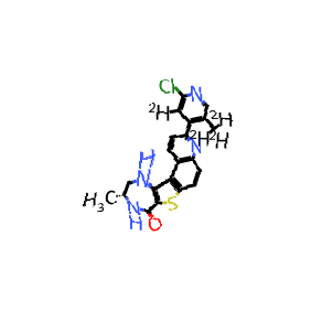 [2H]c1c(Cl)ncc(C([2H])([2H])[2H])c1-c1ccc2c(ccc3sc4c(c32)NC[C@@H](C)NC4=O)n1